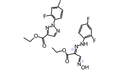 CCOC(=O)C(/C=N/O)=N/Nc1ccc(F)cc1F.CCOC(=O)c1cnn(-c2ccc(F)cc2F)n1